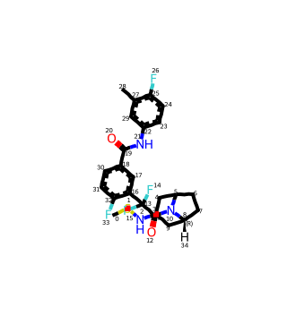 CSNC1CC2CC[C@H](C1)N2C(=O)C(F)(F)c1cc(C(=O)Nc2ccc(F)c(C)c2)ccc1F